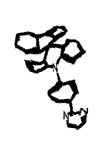 c1cnc(-c2ccc(N3c4ccccc4C4(c5ccccc5-c5ccccc54)c4ccccc43)cc2)nc1